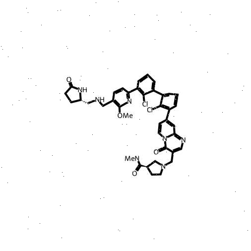 CNC(=O)[C@@H]1CCN(Cc2cnc3cc(-c4cccc(-c5cccc(-c6ccc(CNC[C@@H]7CCC(=O)N7)c(OC)n6)c5Cl)c4Cl)ccn3c2=O)C1